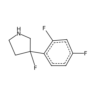 Fc1ccc(C2(F)CCNC2)c(F)c1